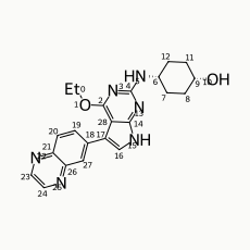 CCOc1nc(N[C@H]2CC[C@@H](O)CC2)nc2[nH]cc(-c3ccc4nccnc4c3)c12